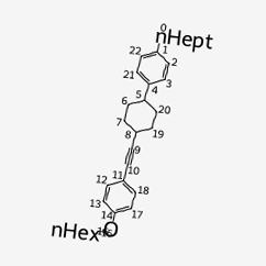 CCCCCCCc1ccc(C2CCC(C#Cc3ccc(OCCCCCC)cc3)CC2)cc1